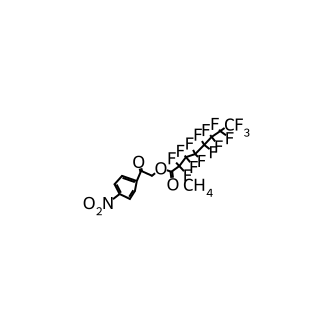 C.O=C(COC(=O)C(F)(F)C(F)(F)C(F)(F)C(F)(F)C(F)(F)C(F)(F)C(F)(F)F)c1ccc([N+](=O)[O-])cc1